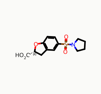 O=C(O)[C@H]1Cc2cc(S(=O)(=O)N3CCCC3)ccc2O1